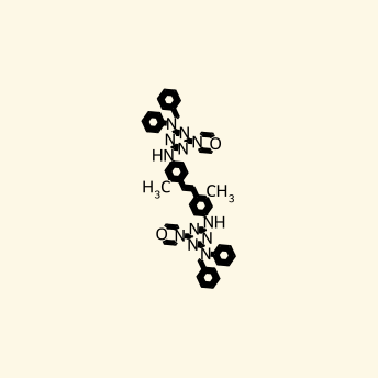 Cc1cc(Nc2nc(N3CCOCC3)nc(N(Cc3ccccc3)c3ccccc3)n2)ccc1C=Cc1ccc(Nc2nc(N3CCOCC3)nc(N(Cc3ccccc3)c3ccccc3)n2)cc1C